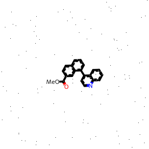 COC(=O)c1ccc2cccc(-c3ccnc4ccccc34)c2c1